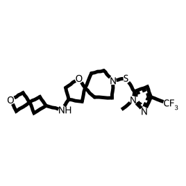 Cn1nc(C(F)(F)F)cc1SN1CCC2(CC1)CC(NC1CC3(COC3)C1)CO2